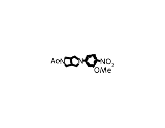 COc1cc(N2CC3CN(C(C)=O)CC3C2)ccc1[N+](=O)[O-]